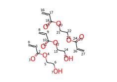 C=CC(=O)OCCO.C=CC(=O)OCCO.C=CC(=O)OCCOC(=O)C=C